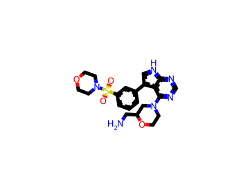 NCC1CN(c2ncnc3[nH]cc(-c4cccc(S(=O)(=O)N5CCOCC5)c4)c23)CCO1